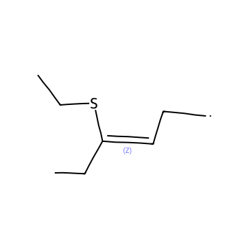 [CH2]C/C=C(/CC)SCC